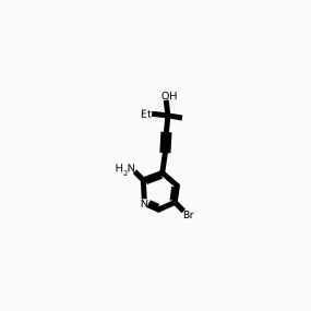 CCC(C)(O)C#Cc1cc(Br)cnc1N